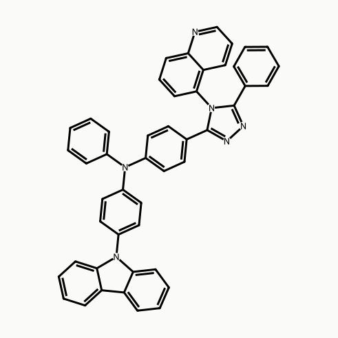 c1ccc(-c2nnc(-c3ccc(N(c4ccccc4)c4ccc(-n5c6ccccc6c6ccccc65)cc4)cc3)n2-c2cccc3ncccc23)cc1